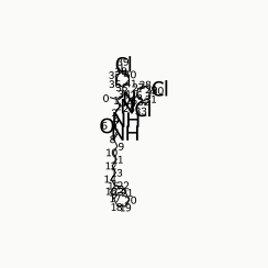 Cc1c(CNC(=O)NCCCCCCCC2CC3CCCC(C2)C3)nn(-c2ccc(Cl)cc2Cl)c1-c1ccc(Cl)cc1